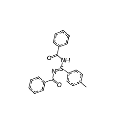 Cc1ccc(/S(=N\C(=O)c2ccccc2)NC(=O)c2ccccc2)cc1